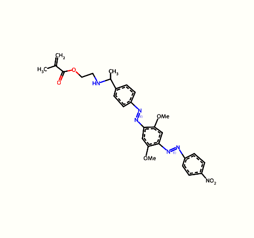 C=C(C)C(=O)OCCNC(C)c1ccc(/N=N/c2cc(OC)c(/N=N/c3ccc([N+](=O)[O-])cc3)cc2OC)cc1